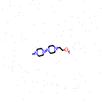 CN1CCN(N2CCN(CCOI)CC2)CC1